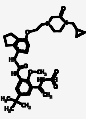 C=C(N[SH](=O)=O)c1cc(C(C)(C)C)cc(NC(=O)Nc2ccc(OCCN3CCN(CC4CC4)C(=O)C3)c3c2CCC3)c1OC